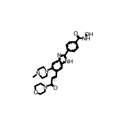 CN1CCN(c2cc3nc(-c4ccc(C(=O)NO)cc4)[nH]c3cc2/C=C/C(=O)N2CCOCC2)CC1